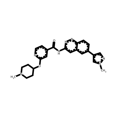 CN1CCC(Oc2cc(C(=O)Nc3cc4cc(-c5cnn(C)c5)ccc4nn3)ccn2)CC1